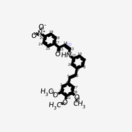 COc1cc(C=Cc2cccc(N/C=C\C(=O)c3ccc([N+](=O)[O-])cc3)c2)cc(OC)c1OC